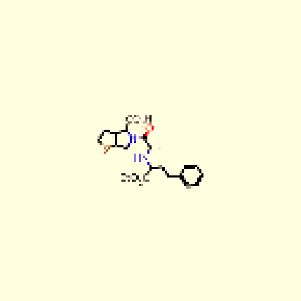 CCOC(=O)C(CCc1ccccc1)N[C@@H](C)C(=O)N1CC2SCCC2C1C(=O)O